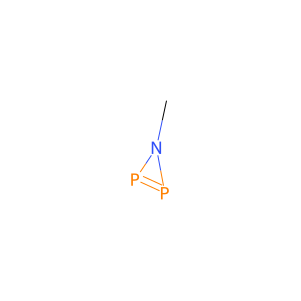 CN1P=P1